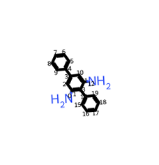 Nc1cc(-c2ccccc2)cc(N)c1-c1ccccc1